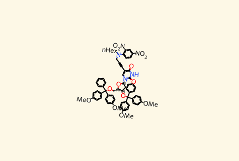 CCCCCCN(CC#Cc1cn([C@H]2C[C@H](OC(c3ccccc3)(c3ccc(OC)cc3)c3ccc(OC)cc3)[C@@H](COC(c3ccccc3)(c3ccc(OC)cc3)c3ccc(OC)cc3)O2)c(=O)[nH]c1=O)c1ccc([N+](=O)[O-])cc1[N+](=O)[O-]